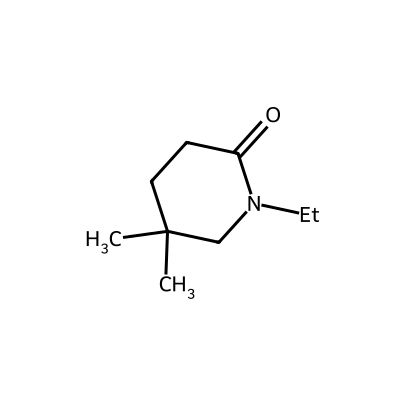 CCN1CC(C)(C)CCC1=O